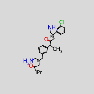 CC(C)C(=O)C[C@H](CN)Cc1cccc(C(C)C(=O)C[C@@H](CN)c2cccc(Cl)c2)c1